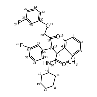 Cc1ccccc1C(C(=O)NC1CCCCC1)N(C(=O)COc1cccc(F)c1)c1cccc(F)c1